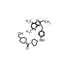 CCc1nc2c(C)cc(C)nc2n1Cc1ccc(N[C@H]2CC[C@H](C(=O)N3CCC(CO)CC3)CC2)cc1